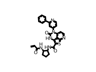 C=CC(=O)NC1CCCC1NC(=O)c1sc2nccc3c2c1NC(=O)N3c1ccnc(-c2ccccc2)c1